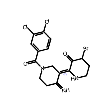 N=C1CCN(C(=O)c2ccc(Cl)c(Cl)c2)C/C1=C1/NCCC(Br)C1=O